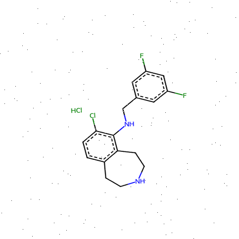 Cl.Fc1cc(F)cc(CNc2c(Cl)ccc3c2CCNCC3)c1